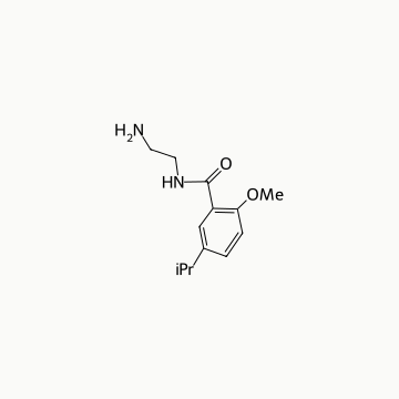 COc1ccc(C(C)C)cc1C(=O)NCCN